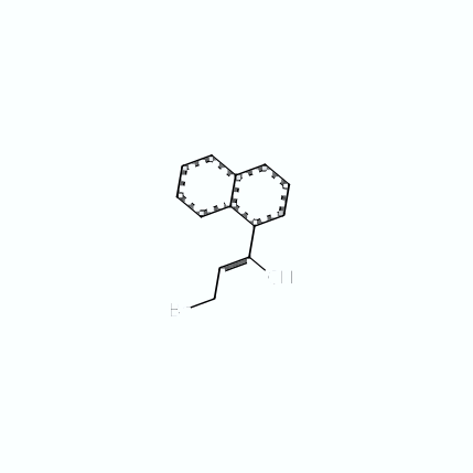 CC(=CCBr)c1cccc2ccccc12